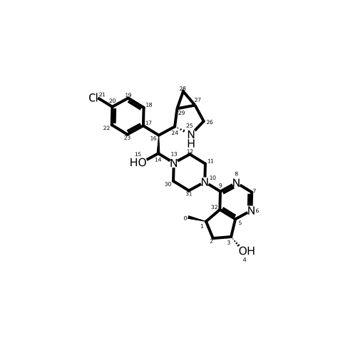 C[C@@H]1C[C@@H](O)c2ncnc(N3CCN(C(O)[C@@H](c4ccc(Cl)cc4)[C@H]4NCC5CC54)CC3)c21